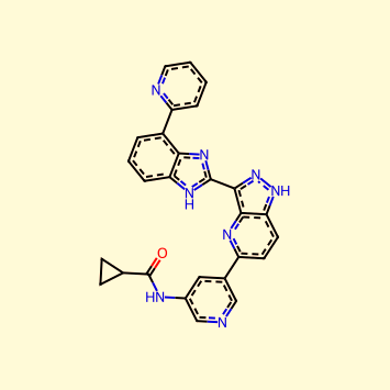 O=C(Nc1cncc(-c2ccc3[nH]nc(-c4nc5c(-c6ccccn6)cccc5[nH]4)c3n2)c1)C1CC1